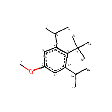 COc1cc(C(C)C)c(C(C)(C)C)c(C(C)C)c1